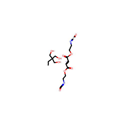 CCC(CO)(CO)CO.O=C=NCCOC(=O)/C=C/C(=O)OCCN=C=O